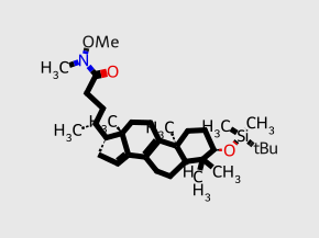 CON(C)C(=O)CC[C@@H](C)[C@H]1CC=C2C3=C(CC[C@@]21C)[C@@]1(C)CC[C@H](O[Si](C)(C)C(C)(C)C)C(C)(C)[C@@H]1CC3